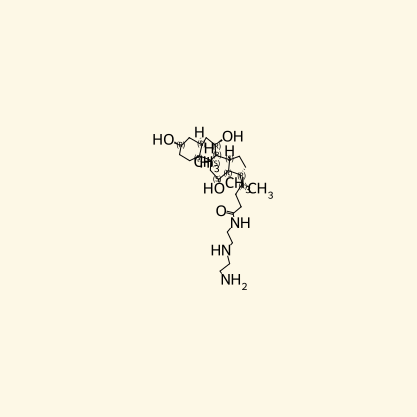 C[C@H](CCC(=O)NCCNCCN)[C@H]1CC[C@H]2[C@@H]3[C@H](O)C[C@@H]4C[C@H](O)CC[C@]4(C)[C@H]3C[C@H](O)[C@]12C